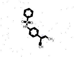 C#C/C(=C\[CH2])c1ccc(NS(=O)(=O)c2ccccc2)cc1